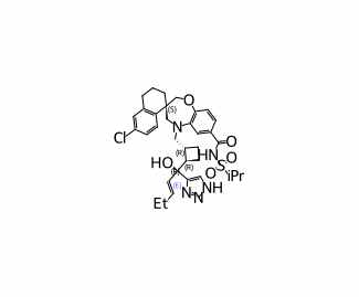 CC/C=C/[C@@](O)(c1c[nH]nn1)[C@@H]1CC[C@H]1CN1C[C@@]2(CCCc3cc(Cl)ccc32)COc2ccc(C(=O)NS(=O)(=O)C(C)C)cc21